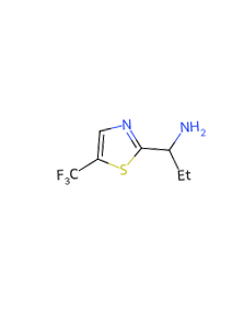 CCC(N)c1ncc(C(F)(F)F)s1